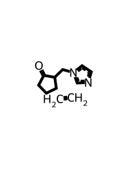 C=C.O=C1CCCC1Cn1ccnc1